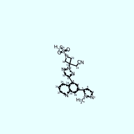 Cn1nccc1-c1cc(-c2cnn(C3(CC#N)CN(S(C)(=O)=O)C3)n2)c2cccnc2c1